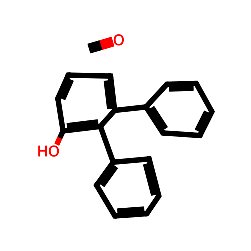 C=O.Oc1cccc(-c2ccccc2)c1-c1ccccc1